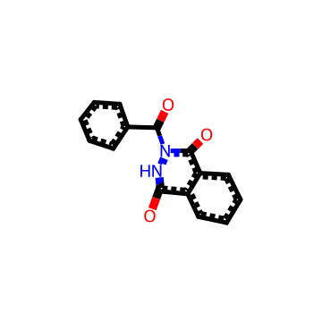 O=C(c1ccccc1)n1[nH]c(=O)c2ccccc2c1=O